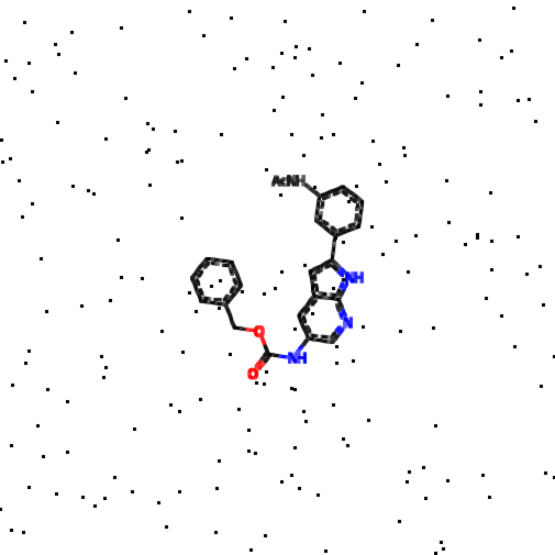 CC(=O)Nc1cccc(-c2cc3cc(NC(=O)OCc4ccccc4)cnc3[nH]2)c1